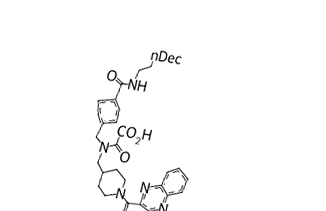 CCCCCCCCCCCCNC(=O)c1ccc(CN(CC2CCN(C(=O)c3cnc4ccccc4n3)CC2)C(=O)C(=O)O)cc1